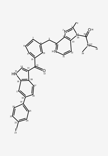 Cc1nc2c(Cc3cccc(C(=O)c4c[nH]c5cc(-c6ccc(F)cc6)ccc45)c3)nccc2n1C(=O)N(C)C